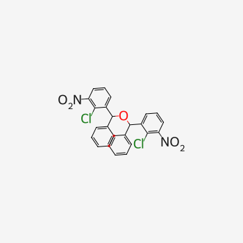 O=[N+]([O-])c1cccc(C(OC(c2ccccc2)c2cccc([N+](=O)[O-])c2Cl)c2ccccc2)c1Cl